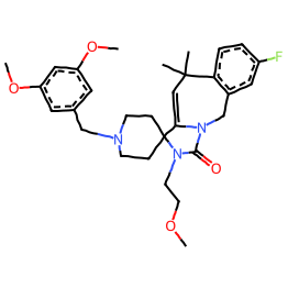 COCCN1C(=O)N2Cc3cc(F)ccc3C(C)(C)C=C2C12CCN(Cc1cc(OC)cc(OC)c1)CC2